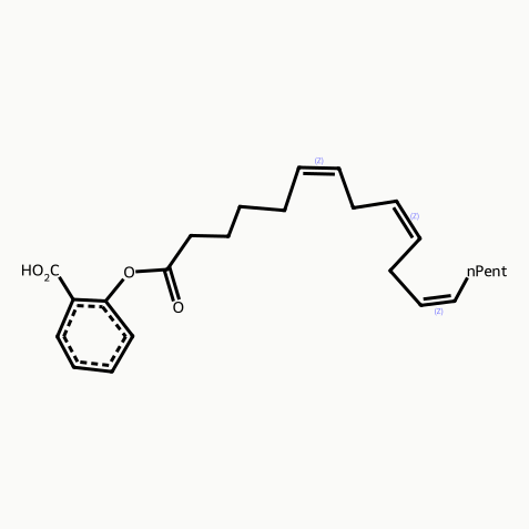 CCCCC/C=C\C/C=C\C/C=C\CCCCC(=O)Oc1ccccc1C(=O)O